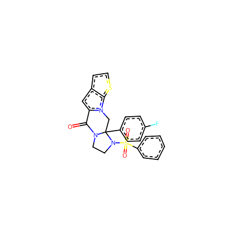 O=C1c2cc3ccsc3n2CC2(c3ccc(F)cc3)N1CCN2S(=O)(=O)c1ccccc1